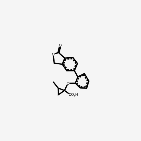 CC1CC1(Oc1ccccc1-c1ccc2c(c1)COC2=O)C(=O)O